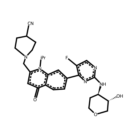 CC(C)n1c(CN2CCC(C#N)CC2)cc(=O)c2ccc(-c3nc(N[C@@H]4CCOC[C@H]4O)ncc3F)cc21